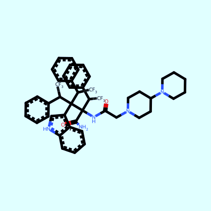 NC(=O)C(NC(=O)CN1CCC(N2CCCCC2)CC1)(C(c1ccccc1)C(F)(F)F)C(c1c[nH]c2ccccc12)(C(c1ccccc1)C(F)(F)F)C(c1ccccc1)C(F)(F)F